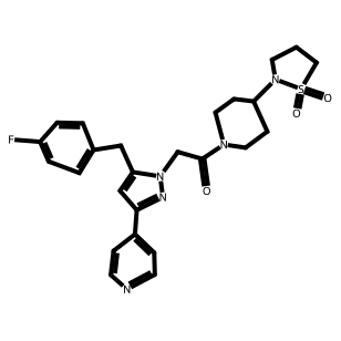 O=C(Cn1nc(-c2ccncc2)cc1Cc1ccc(F)cc1)N1CCC(N2CCCS2(=O)=O)CC1